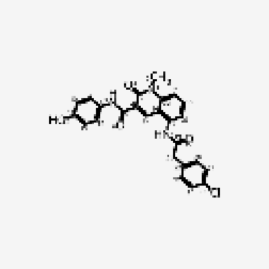 Cn1c(=O)c(C(=O)Nc2ccc(O)cc2)cc2c(NC(=O)Cc3ccc(Cl)cc3)cccc21